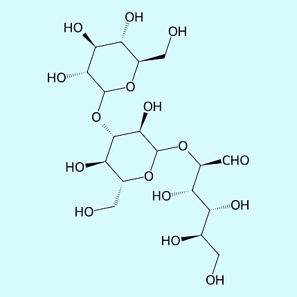 O=C[C@H](OC1O[C@H](CO)[C@@H](O)[C@H](OC2O[C@H](CO)[C@@H](O)[C@H](O)[C@H]2O)[C@H]1O)[C@@H](O)[C@H](O)[C@H](O)CO